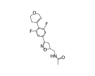 CC(=O)NCC1CC(c2cc(F)c(C3=CCOCC3)c(F)c2)=NO1